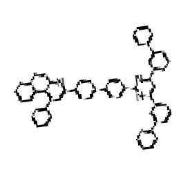 c1ccc(-c2cccc(-c3cc(-c4cccc(-c5ccccc5)c4)nc(-c4ccc(-c5ccc(-c6cc(-c7ccccc7)c7c(ccc8ccccc87)n6)cc5)cc4)n3)c2)cc1